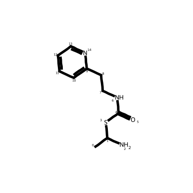 CC(N)SC(=O)NCCc1ccccn1